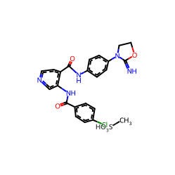 CS(=O)(=O)O.N=C1OCCN1c1ccc(NC(=O)c2ccncc2NC(=O)c2ccc(Cl)cc2)cc1